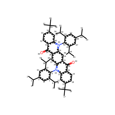 CC(C)c1cc(C(C)C)c(-n2c3cc(C(C)(C)C)ccc3c(=O)c3cc4c(cc32)c(=O)c2ccc(C(C)(C)C)cc2n4-c2c(C(C)C)cc(C(C)C)cc2C(C)C)c(C(C)C)c1